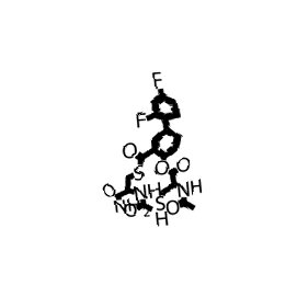 CC(=O)NC(CSC(=O)c1cc(-c2ccc(F)cc2F)ccc1OC(=O)C(CS)NC(C)=O)C(N)=O